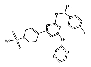 C[C@H](Nc1cc(C2=CCN(S(C)(=O)=O)CC2)cc(Nc2cnccn2)n1)c1ccc(F)cc1